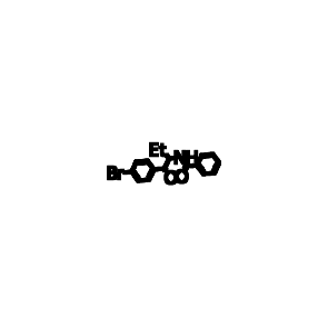 CCC(NC(=O)c1ccccc1)C(=O)c1ccc(Br)cc1